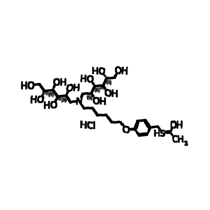 CC(O)=[SH]Cc1ccc(OCCCCCCN(C[C@H](O)[C@@H](O)[C@H](O)[C@H](O)CO)C[C@H](O)[C@@H](O)[C@H](O)[C@H](O)CO)cc1.Cl